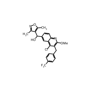 COc1nc2ccc(C(O)c3c(C)noc3C)cc2c(Cl)c1Cc1ccc(C(F)(F)F)cc1